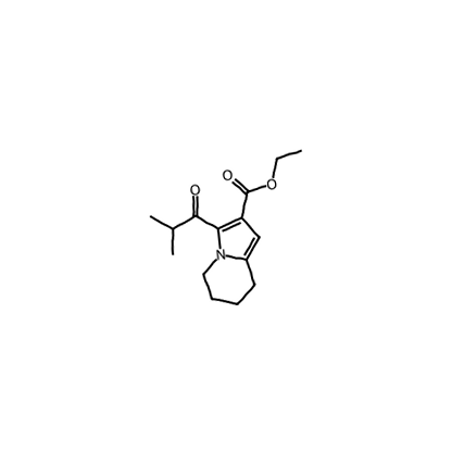 CCOC(=O)c1cc2n(c1C(=O)C(C)C)CCCC2